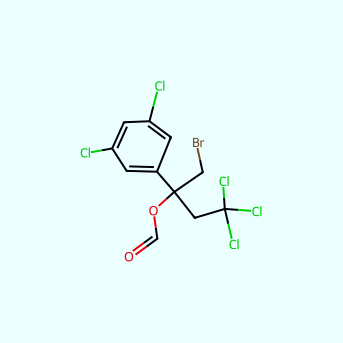 O=COC(CBr)(CC(Cl)(Cl)Cl)c1cc(Cl)cc(Cl)c1